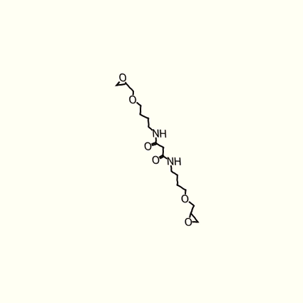 O=C(CC(=O)NCCCCOCC1CO1)NCCCCOCC1CO1